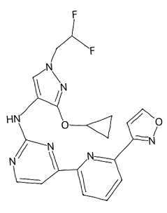 FC(F)Cn1cc(Nc2nccc(-c3cccc(-c4ccon4)n3)n2)c(OC2CC2)n1